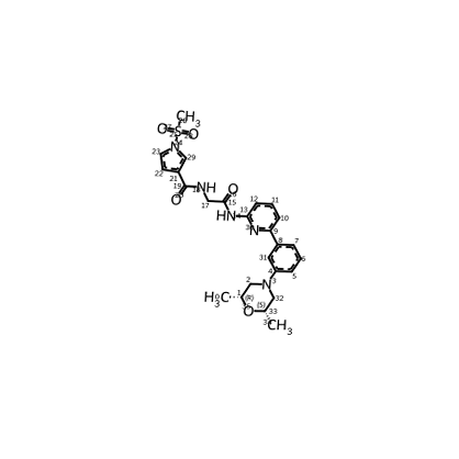 C[C@@H]1CN(c2cccc(-c3cccc(NC(=O)CNC(=O)c4ccn(S(C)(=O)=O)c4)n3)c2)C[C@H](C)O1